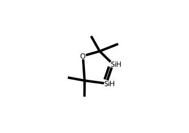 CC1(C)OC(C)(C)[SiH]=[SiH]1